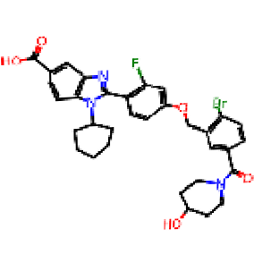 O=C(O)c1ccc2c(c1)nc(-c1ccc(OCc3cc(C(=O)N4CCC(O)CC4)ccc3Br)cc1F)n2C1CCCCC1